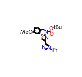 COc1ccc(CN(C(=O)OC(C)(C)C)c2nc(-c3cn(C(C)C)cn3)cs2)cc1